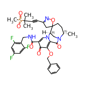 C[C@H]1CCC2(CC(C#CC(C)(C)S(C)(=O)=O)=NO2)[C@H]2CN1C(=O)c1c(OCc3ccccc3)c(=O)c(C(=O)NCc3c(F)cc(F)cc3F)cn12